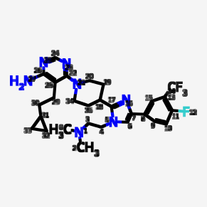 CN(C)CCn1cc(-c2ccc(F)c(C(F)(F)F)c2)nc1C1CCN(c2ncnc(N)c2CCC2CC2)CC1